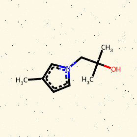 Cc1ccn(CC(C)(C)O)c1